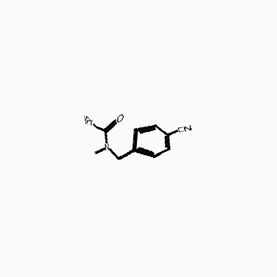 CC(C)C(=O)N(C)Cc1ccc(C#N)cc1